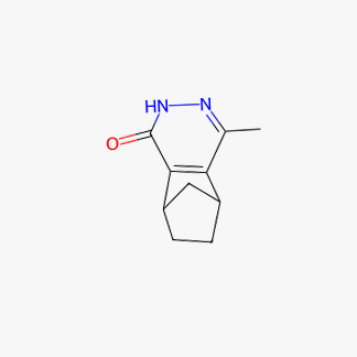 Cc1n[nH]c(=O)c2c1C1CCC2C1